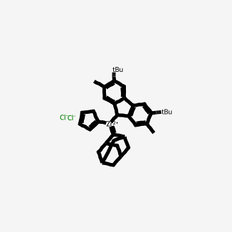 Cc1cc2c(cc1C(C)(C)C)-c1cc(C(C)(C)C)c(C)cc1[CH]2[Zr+2]([C]1=CC=CC1)=[C]1C2CC3CC(C2)CC1C3.[Cl-].[Cl-]